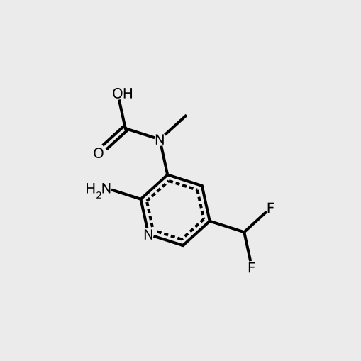 CN(C(=O)O)c1cc(C(F)F)cnc1N